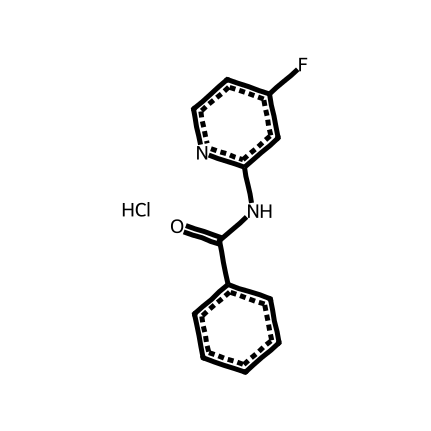 Cl.O=C(Nc1cc(F)ccn1)c1ccccc1